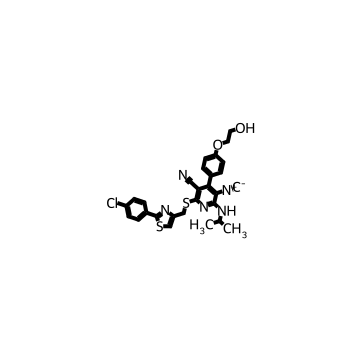 [C-]#[N+]c1c(NC(C)C)nc(SCc2csc(-c3ccc(Cl)cc3)n2)c(C#N)c1-c1ccc(OCCO)cc1